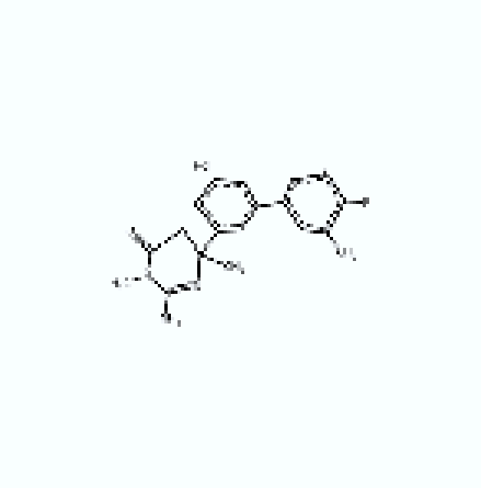 Cc1cc(-c2cccc(C3(C)CC(=O)N(C)C(N)=N3)c2)cnc1F.Cl